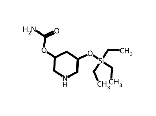 CC[Si](CC)(CC)OC1CNCC(OC(N)=O)C1